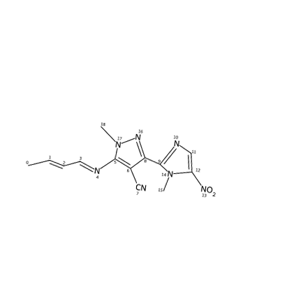 CC=CC=Nc1c(C#N)c(-c2ncc([N+](=O)[O-])n2C)nn1C